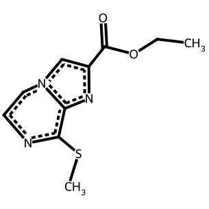 CCOC(=O)c1cn2ccnc(SC)c2n1